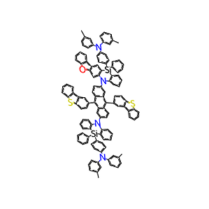 Cc1cccc(N(c2ccc([Si]3(c4ccccc4)c4ccccc4N(c4ccc5c(-c6ccc7sc8ccccc8c7c6)c6cc(N7c8ccccc8[Si](c8ccccc8)(c8ccc(N(c9cccc(C)c9)c9cccc(C)c9)cc8)c8cc9c(cc87)oc7ccccc79)ccc6c(-c6ccc7sc8ccccc8c7c6)c5c4)c4ccccc43)cc2)c2cccc(C)c2)c1